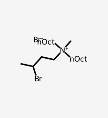 CCCCCCCC[N+](C)(CCCCCCCC)CCC(C)Br.[Br-]